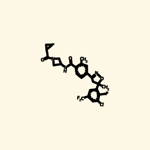 Cc1cc(C2=NOC(C)(c3cc(C(F)(F)F)cc(Cl)c3F)C2)ccc1C(=O)NC1CN(C(=O)C2CC2)C1